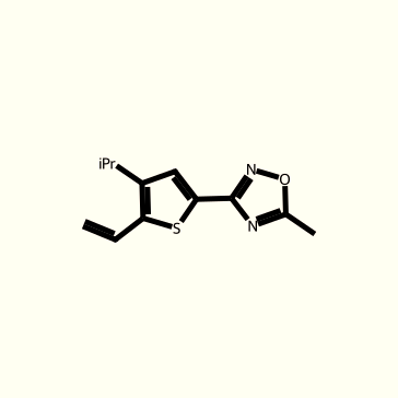 C=Cc1sc(-c2noc(C)n2)cc1C(C)C